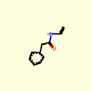 C=CNC(=O)Cc1ccccc1